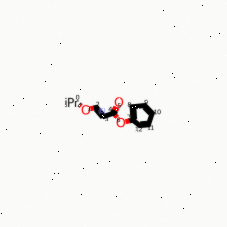 CC(C)O/C=C/C(=O)Oc1ccccc1